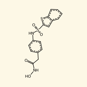 O=C(Cc1ccc(NS(=O)(=O)c2cc3ccccc3s2)cc1)NO